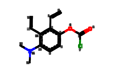 C=Cc1c(OC(=O)Cl)ccc(N(C)C)c1C=C